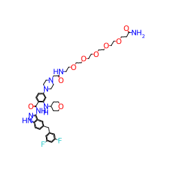 NC(=O)CCOCCOCCOCCOCCOCCNC(=O)CN1CCN(c2ccc(C(=O)Nc3n[nH]c4ccc(Cc5cc(F)cc(F)c5)cc34)c(NC3CCOCC3)c2)CC1